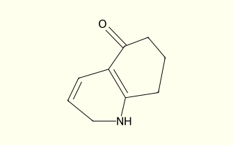 O=C1CCCC2=C1C=CCN2